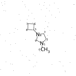 CN1CCN(C2CCC2)C1